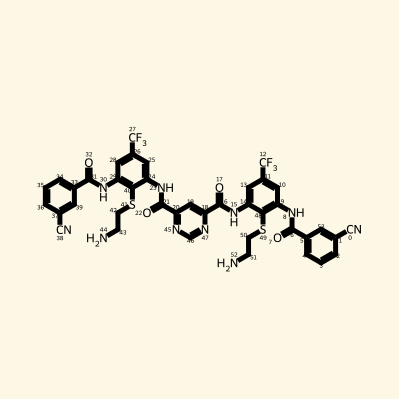 N#Cc1cccc(C(=O)Nc2cc(C(F)(F)F)cc(NC(=O)c3cc(C(=O)Nc4cc(C(F)(F)F)cc(NC(=O)c5cccc(C#N)c5)c4SCCN)ncn3)c2SCCN)c1